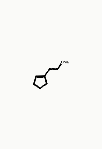 COCCC1=CCCC1